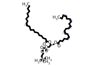 CC/C=C\C/C=C\C/C=C\C/C=C\C/C=C\CCCC(=O)OC[C@H](COP(=O)([O-])OCC[N+](C)(C)C)OC(=O)CCCCCCCCC/C=C\CCCCCCCC